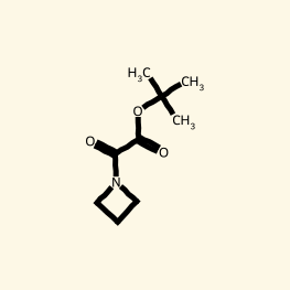 CC(C)(C)OC(=O)C(=O)N1CCC1